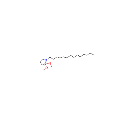 CCCCCCCCCCCCCCN1CCC[Si]1(OC)OC